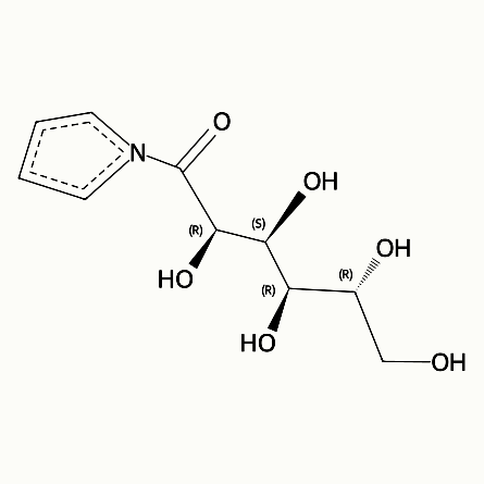 O=C([C@H](O)[C@@H](O)[C@H](O)[C@H](O)CO)n1cccc1